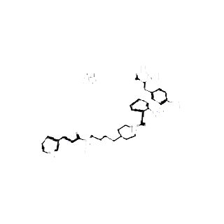 NC(Cc1ccc(O)c(/N=N\c2ccccc2C(=O)N2CCC(CCCCNC(=O)/C=C/c3cccnc3)CC2)c1)C(=O)O.O.O.O